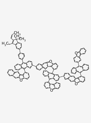 C=CC1=C(/C=C\C)C(C)(C)c2ccc(-c3ccc(-c4c5ccccc5c(-c5cccc6oc7cc8ccccc8cc7c56)c5cc(-c6ccc7cc8c(cc7c6)oc6cccc(-c7c9ccccc9c(-c9cccc%10oc%11ccccc%11c9%10)c9ccc(-c%10ccc%11cc%12c(cc%11c%10)oc%10cccc(-c%11c%13ccccc%13c(-c%13ccc%14oc%15ccccc%15c%14c%13)c%13ccccc%11%13)c%10%12)cc79)c68)ccc45)cc3)cc21